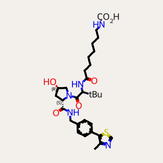 Cc1ncsc1-c1ccc(CNC(=O)[C@@H]2C[C@@H](O)CN2C(=O)C(NC(=O)CCCCCCCNC(=O)O)C(C)(C)C)cc1